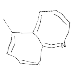 Cc1cc[c]c2ncccc12